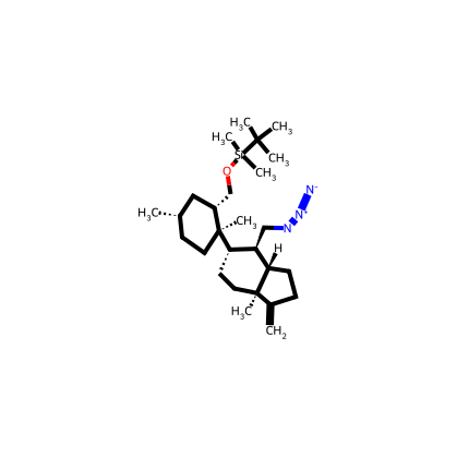 C=C1CC[C@H]2[C@H](CN=[N+]=[N-])[C@@H]([C@@]3(C)CC[C@H](C)C[C@@H]3CO[Si](C)(C)C(C)(C)C)CC[C@]12C